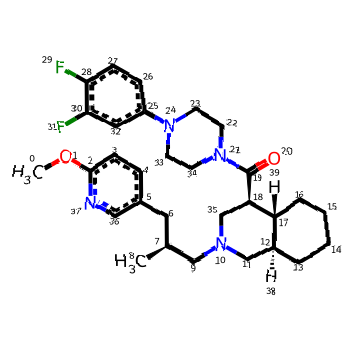 COc1ccc(C[C@H](C)CN2C[C@@H]3CCCC[C@H]3[C@H](C(=O)N3CCN(c4ccc(F)c(F)c4)CC3)C2)cn1